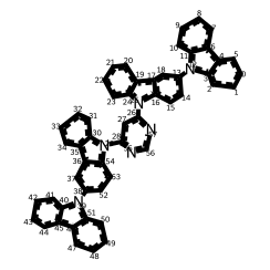 c1ccc2c(c1)c1ccccc1n2-c1ccc2c(c1)c1ccccc1n2-c1cc(-n2c3ccccc3c3cc(-n4c5ccccc5c5ccccc54)ccc32)ncn1